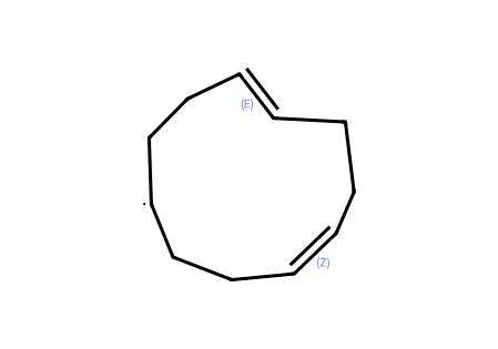 [CH]1CC/C=C\CC/C=C/CC1